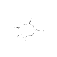 CN1CNNC(=O)N(C)C(=O)C1